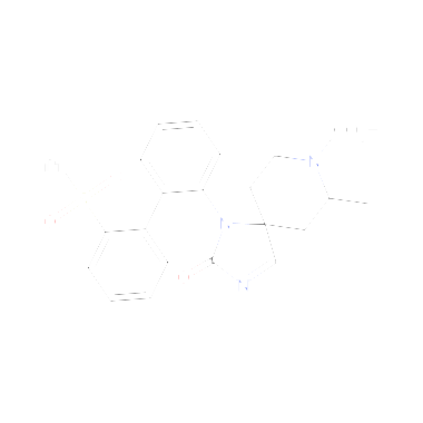 CC1CC2(C=NC(=O)N2c2ccccc2-c2ccccc2S(=O)(=O)C(C)C)CCN1C(=O)O